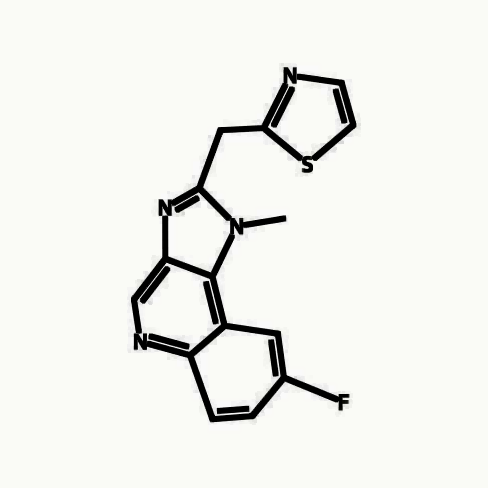 Cn1c(Cc2nccs2)nc2cnc3ccc(F)cc3c21